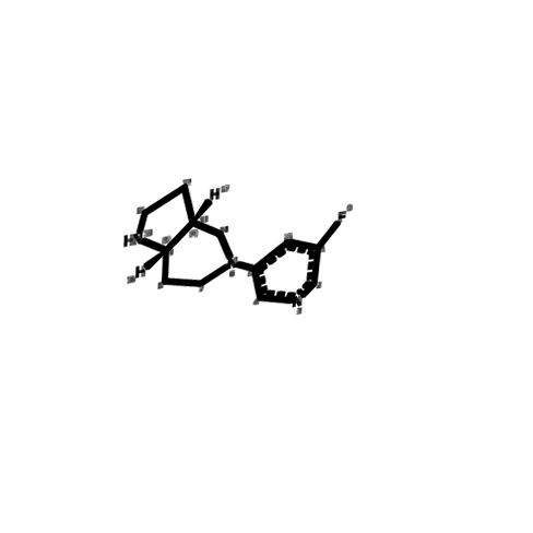 Fc1cncc(N2CC[C@@H]3NCC[C@@H]3C2)c1